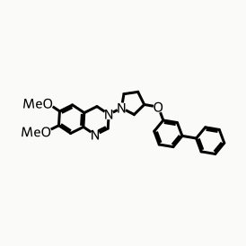 COc1cc2c(cc1OC)N=CN(N1CCC(Oc3cccc(-c4ccccc4)c3)C1)C2